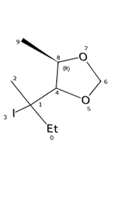 CCC(C)(I)C1OCO[C@@H]1C